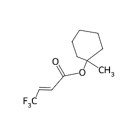 CC1(OC(=O)C=CC(F)(F)F)CCCCC1